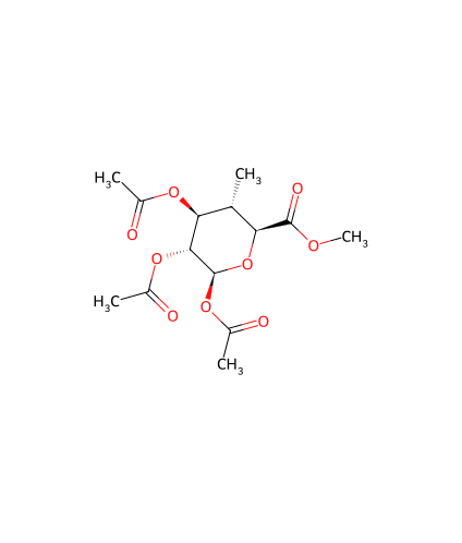 COC(=O)[C@H]1O[C@@H](OC(C)=O)[C@H](OC(C)=O)[C@@H](OC(C)=O)[C@@H]1C